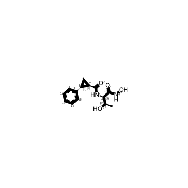 C[C@@H](O)[C@H](NC(=O)[C@@H]1C[C@H]1c1ccccc1)C(=O)NO